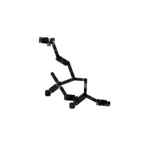 CNC(=O)CC(C=CC(=O)O)P(C)(=O)OC